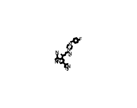 C=N/C(=C\C=C(/C)c1cc(-c2cnn(C)c2)cn2ncc(C#N)c12)N1CCN(Cc2ccc(F)cc2)CC1